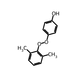 Cc1cccc(C)c1OOc1ccc(O)cc1